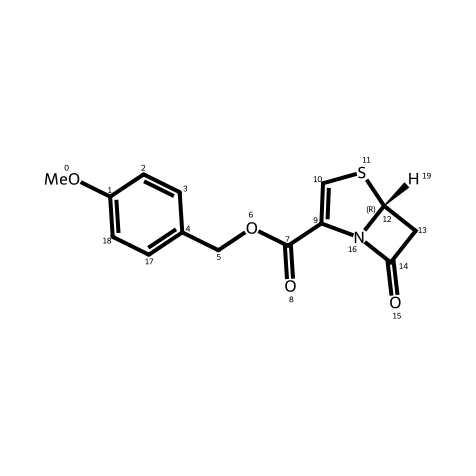 COc1ccc(COC(=O)C2=CS[C@@H]3CC(=O)N23)cc1